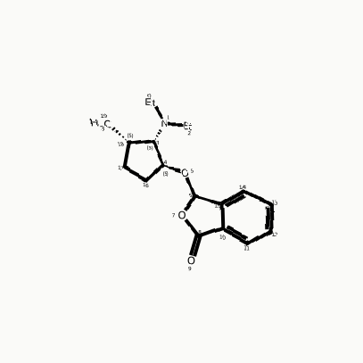 CCN(CC)[C@@H]1[C@@H](OC2OC(=O)c3ccccc32)CC[C@@H]1C